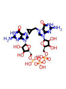 Nc1nc2c(ncn2[C@@H]2O[C@H](COP(=O)(O)OP(=O)(O)OP(=O)(O)OC[C@H]3O[C@@H](n4c[n+](CC5CC5)c5c(=O)[nH]c(N)nc54)[C@@H](O)C3O)C(O)[C@@H]2O)c(=O)[nH]1